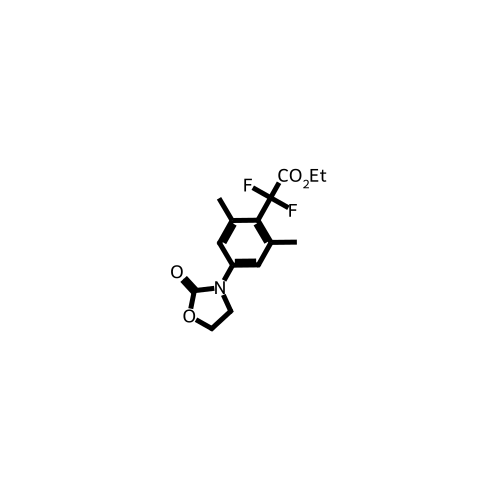 CCOC(=O)C(F)(F)c1c(C)cc(N2CCOC2=O)cc1C